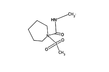 [CH2]NC(=O)[N+]1(S(C)(=O)=O)CCCCC1